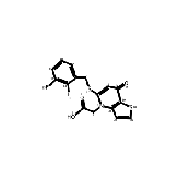 O=C(O)Cn1c(SCc2cccc(F)c2F)cc(=O)c2sccc21